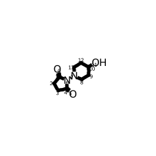 O=C1CCC(=O)N1N1CCC(O)CC1